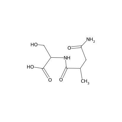 CC(CC(N)=O)C(=O)NC(CO)C(=O)O